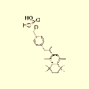 CC(=Cc1ccc(COP(=O)(O)O)cc1)c1cc(C)c2c(c1C)C(C)(C)CCC2(C)C